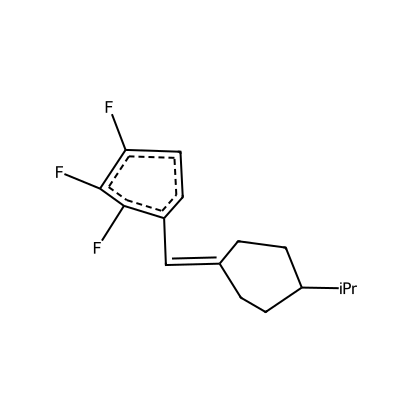 CC(C)C1CCC(=Cc2ccc(F)c(F)c2F)CC1